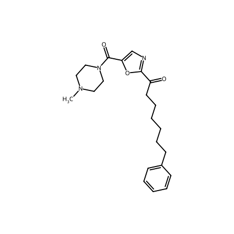 CN1CCN(C(=O)c2cnc(C(=O)CCCCCCc3ccccc3)o2)CC1